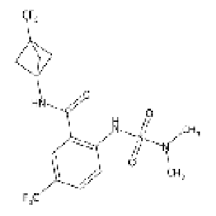 CN(C)S(=O)(=O)Nc1ccc(C(F)(F)F)cc1C(=O)NC12CC(C(F)(F)F)(C1)C2